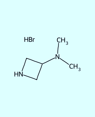 Br.CN(C)C1CNC1